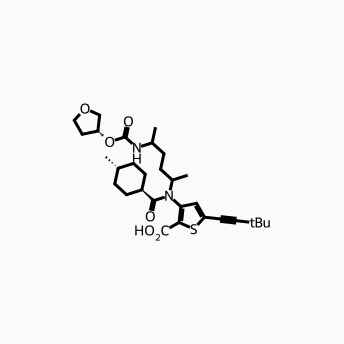 CC(CCC(C)N(c1cc(C#CC(C)(C)C)sc1C(=O)O)C(=O)[C@H]1CC[C@H](C)CC1)NC(=O)O[C@@H]1CCOC1